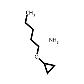 CCCCCOC1CC1.N